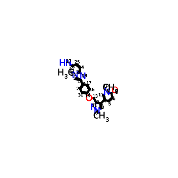 Cn1cc(-c2ccc(=O)n(C)c2)c(COc2ccc(-c3cn(C)c(/C=C\C=N)n3)cc2)n1